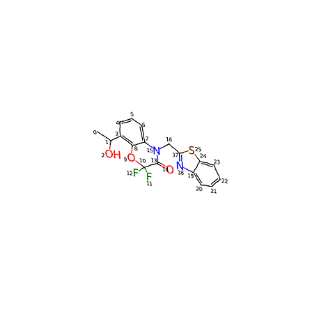 CC(O)c1cccc2c1OC(F)(F)C(=O)N2Cc1nc2ccccc2s1